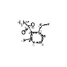 CSc1cccc(I)c1S(N)(=O)=O